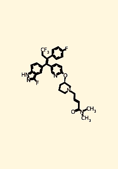 CN(C)C(=O)/C=C/CN1CCC[C@@H](Oc2ccc(/C(=C(/CC(F)(F)F)c3ccc(F)cc3)c3ccc4[nH]nc(F)c4c3)cn2)C1